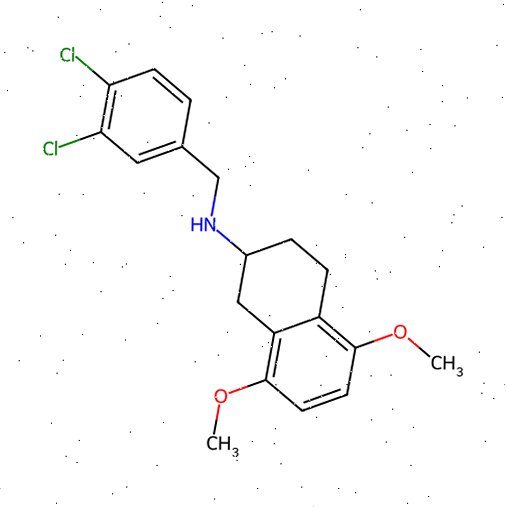 COc1ccc(OC)c2c1CCC(NCc1ccc(Cl)c(Cl)c1)C2